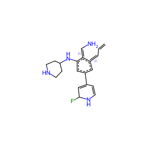 C=C/C=c1/cc(C2=CC(F)NC=C2)cc(NC2CCNCC2)/c1=C/N